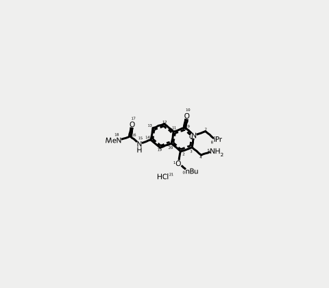 CCCCOc1c(CN)n(CC(C)C)c(=O)c2ccc(NC(=O)NC)cc12.Cl